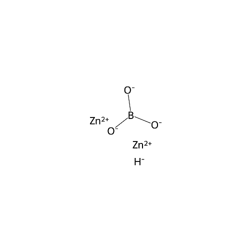 [H-].[O-]B([O-])[O-].[Zn+2].[Zn+2]